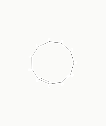 [C]1=C\CCCCCCCCC/1